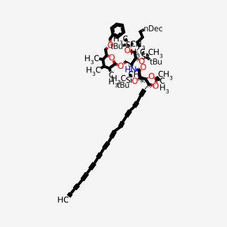 C#CC#CC#CC#CC#CC#CC#CC#CC#CC#CC#C[C@H]1OC(C)(C)O[C@H]1[C@@H](O[Si](C)(C)C(C)(C)C)C(=O)N[C@@H](COC1OC(COCc2ccccc2)C(C)C(C)C1C)[C@H](O[Si](C)(C)C(C)(C)C)[C@@H](CCCCCCCCCCCCCC)O[Si](C)(C)C(C)(C)C